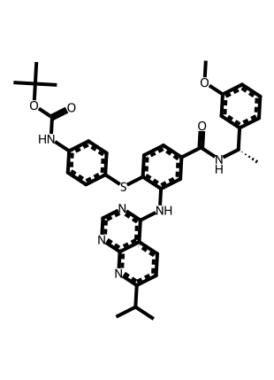 COc1cccc([C@H](C)NC(=O)c2ccc(Sc3ccc(NC(=O)OC(C)(C)C)cc3)c(Nc3ncnc4nc(C(C)C)ccc34)c2)c1